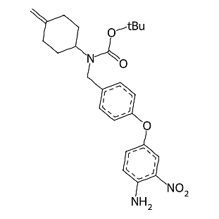 C=C1CCC(N(Cc2ccc(Oc3ccc(N)c([N+](=O)[O-])c3)cc2)C(=O)OC(C)(C)C)CC1